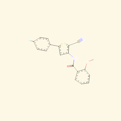 COc1ccccc1C(=O)Nc1cc(-c2ccc(F)cc2)sc1C#N